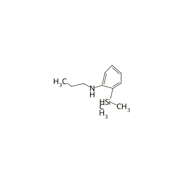 CCCNc1ccccc1[SiH](C)C